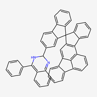 c1ccc(C2=c3ccccc3=NC(c3ccc4c(c3)C3(c5ccccc5-4)c4ccccc4-c4c3cc3c5c(cccc45)-c4ccccc4-3)N2)cc1